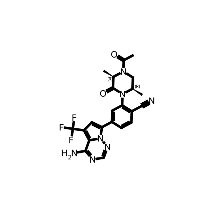 CC(=O)N1C[C@@H](C)N(c2cc(-c3cc(C(F)(F)F)c4c(N)ncnn34)ccc2C#N)C(=O)[C@H]1C